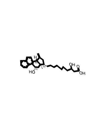 C=C1C[C@H](CCCCCCCC(O)CC(=O)O)[C@@]2(C)C[C@H](O)c3c(ccc4ccccc34)[C@H]12